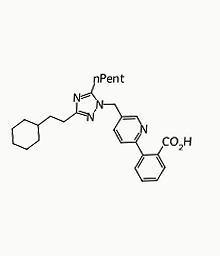 CCCCCc1nc(CCC2CCCCC2)nn1Cc1ccc(-c2ccccc2C(=O)O)nc1